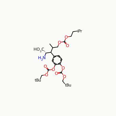 CC(C)CCOC(=O)OCC(C)C(c1ccc(OC(=O)OCC(C)(C)C)c(OC(=O)OCC(C)(C)C)c1)[C@H](N)C(=O)O